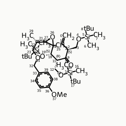 C=C[C@@H](CO[Si](C)(C)C(C)(C)C)C(=O)[C@H](CO[Si](C)(C)C(C)(C)C)[C@H](O[Si](C)(C)C(C)(C)C)C1(C)O[C@@H]1[C@@H](C)COCc1ccc(OC)cc1